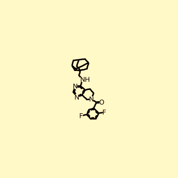 O=C(c1cc(F)ccc1F)N1CCc2c(ncnc2NCC23CC4CC(CC(C4)C2)C3)C1